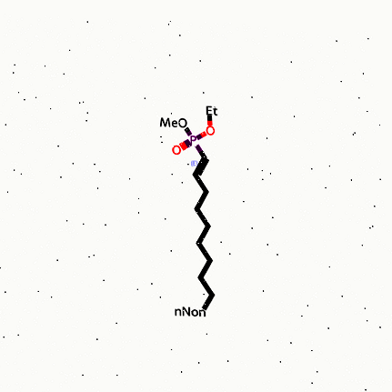 CCCCCCCCCCCCCCCC/C=C/P(=O)(OC)OCC